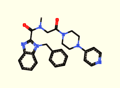 CN(CC(=O)N1CCN(c2ccncc2)CC1)C(=O)c1nc2ccccc2n1Cc1ccccc1